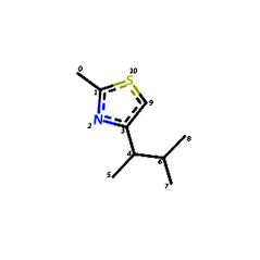 Cc1nc(C(C)C(C)C)cs1